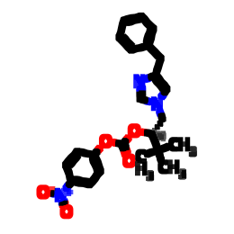 CC(C)(C)[C@@H](Cn1cnc(Cc2ccccc2)c1)OC(=O)Oc1ccc([N+](=O)[O-])cc1